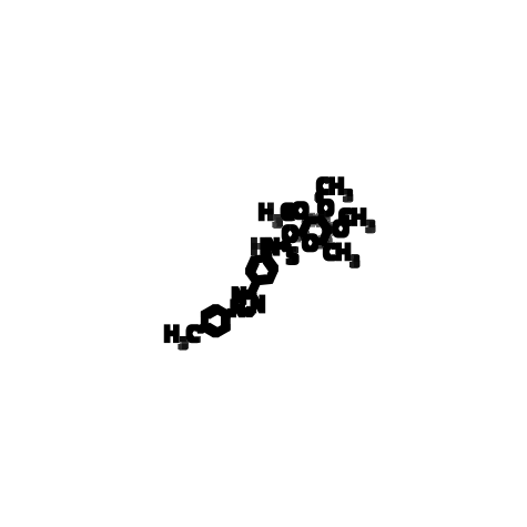 CCO[C@@H]1[C@@H](OC)[C@H](C)O[C@@H](OC(=S)Nc2ccc(-c3ncn(-c4ccc(C)cc4)n3)cc2)[C@@H]1OC